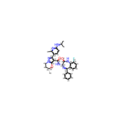 Cc1nc(NC(C)C)ccc1-c1nn2c(c1C(=O)N[C@H]1N=C(c3ccccc3)c3cccc(F)c3NC1=O)O[C@H](C)CC2